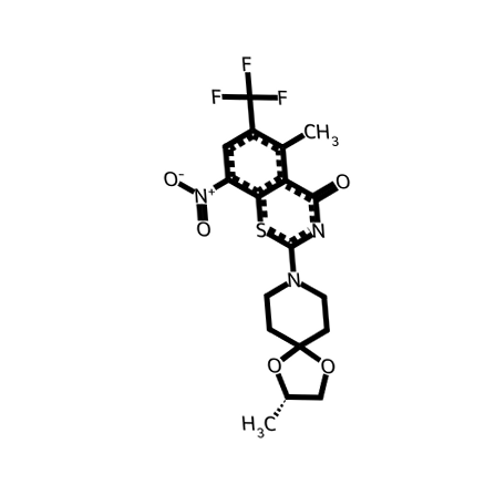 Cc1c(C(F)(F)F)cc([N+](=O)[O-])c2sc(N3CCC4(CC3)OC[C@H](C)O4)nc(=O)c12